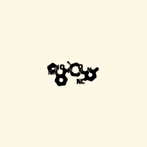 Cc1ccc(C#N)c(N2CCN(C(=O)c3ccccc3-n3nccn3)[C@H](C)CO2)n1